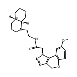 COc1ccc2c(c1)-c1c(cnn1CC(=O)NCCN1CCC[C@@H]3CCCC[C@@H]31)CO2